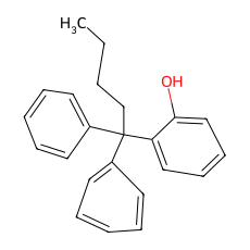 CCCCC(c1ccccc1)(c1ccccc1)c1ccccc1O